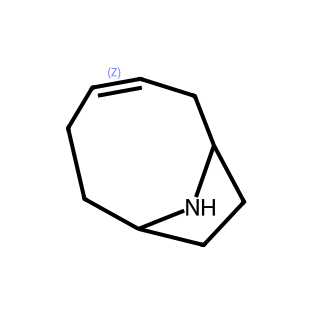 C1=C\CC2CCC(CC/1)N2